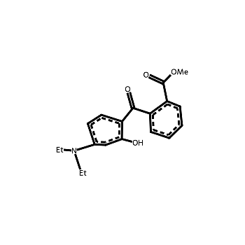 CCN(CC)c1ccc(C(=O)c2ccccc2C(=O)OC)c(O)c1